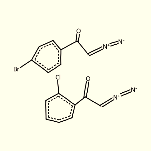 [N-]=[N+]=CC(=O)c1ccc(Br)cc1.[N-]=[N+]=CC(=O)c1ccccc1Cl